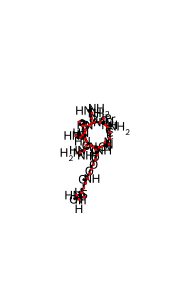 CC(C)C[C@H]1NC(=O)[C@@H](CCCNC(=N)N)NC(=O)[C@@H](Cc2ccccc2)NC(=O)[C@@H](Cc2c[nH]cn2)NC(=O)[C@@H](CCCNC(=N)N)NC(=O)[C@@H](NC(=O)COCCOCCOCCNC(=O)CCCCC2SC[C@@H]3NC(=O)N[C@H]23)Cc2cn(nn2)CCCC[C@@H](C(N)=O)NC1=O